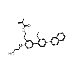 C=C(C)C(=O)OCCc1cc(-c2ccc(-c3ccc4ccccc4c3)cc2CC)ccc1OCCO